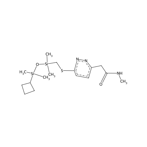 CNC(=O)Cc1ccc(SC[Si](C)(C)O[Si](C)(C)C2CCC2)nn1